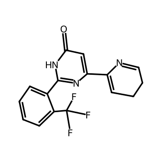 O=c1cc(C2=CCCC=N2)nc(-c2ccccc2C(F)(F)F)[nH]1